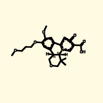 COCCCOc1cc2c(cc1OC)-c1cc(=O)c(C(=O)O)cn1[C@H]1[C@@H]2COCC1(C)C